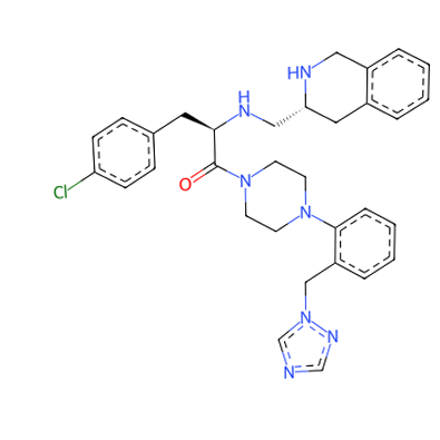 O=C([C@@H](Cc1ccc(Cl)cc1)NC[C@H]1Cc2ccccc2CN1)N1CCN(c2ccccc2Cn2cncn2)CC1